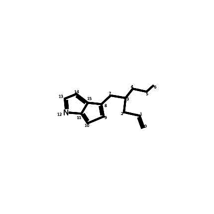 C=CCC(CCC)CC1=CC=C2N=CC=C12